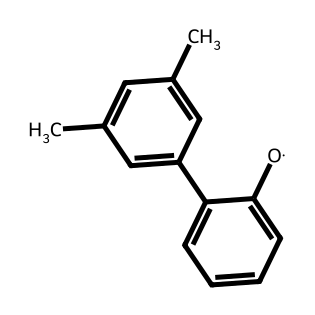 Cc1cc(C)cc(-c2ccccc2[O])c1